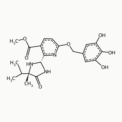 COC(=O)c1ccc(OCc2cc(O)c(O)c(O)c2)nc1[C@@H]1NC(=O)[C@](C)(C(C)C)N1